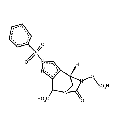 O=C(O)C1c2nn(S(=O)(=O)c3ccccc3)cc2[C@H]2CN1C(=O)N2OS(=O)(=O)O